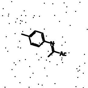 CC(=O)/C(C)=N/c1ccc(C)cc1